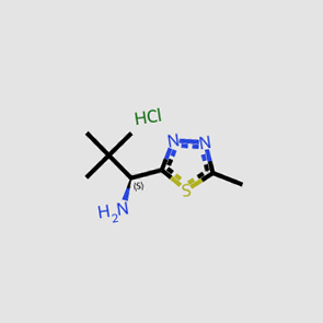 Cc1nnc([C@@H](N)C(C)(C)C)s1.Cl